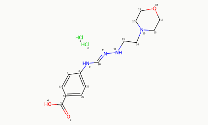 Cl.Cl.O=C(O)c1ccc(NC=NNCCN2CCOCC2)cc1